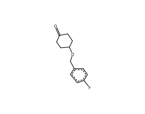 O=C1CCC(OCc2ccc(F)cc2)CC1